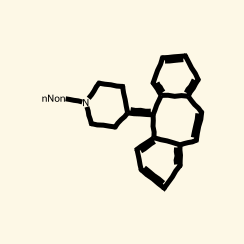 CCCCCCCCCN1CCC(=C2c3ccccc3C=Cc3ccccc32)CC1